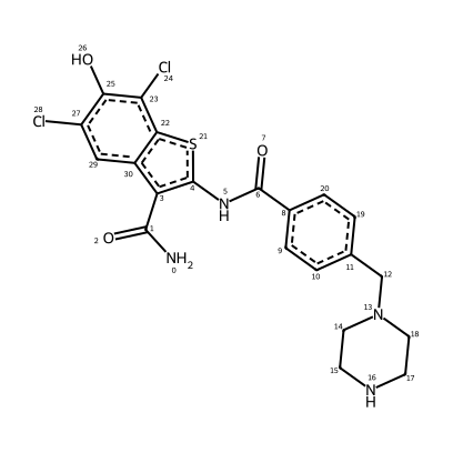 NC(=O)c1c(NC(=O)c2ccc(CN3CCNCC3)cc2)sc2c(Cl)c(O)c(Cl)cc12